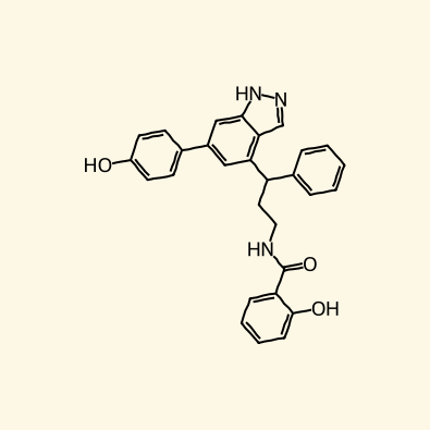 O=C(NCCC(c1ccccc1)c1cc(-c2ccc(O)cc2)cc2[nH]ncc12)c1ccccc1O